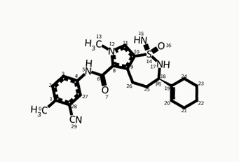 Cc1ccc(NC(=O)c2c3c(cn2C)S(=N)(=O)N[C@@H](C2=CCCCC2)CC3)cc1C#N